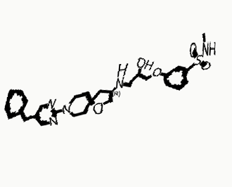 CNS(=O)(=O)c1cccc(OCC(O)CN[C@H]2COC3(CCN(c4ncc(Cc5ccccc5)cn4)CC3)C2)c1